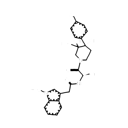 CC(C)[C@@H](NC(=O)Cc1cn(C)c2ccccc12)C(=O)N1CC[C@](O)(c2ccc(Cl)cc2)C(C)(C)C1